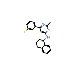 Cc1nc(N[C@@H]2CCCc3ccccc32)cc(-c2cccc(F)c2)n1